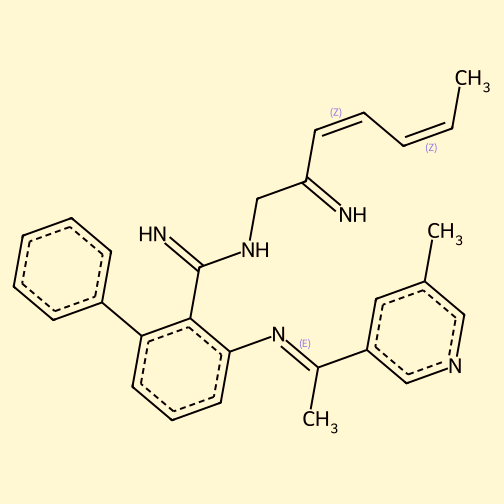 C/C=C\C=C/C(=N)CNC(=N)c1c(/N=C(\C)c2cncc(C)c2)cccc1-c1ccccc1